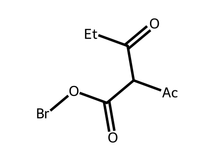 CCC(=O)C(C(C)=O)C(=O)OBr